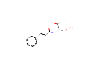 O=C(C=Cc1ccccc1)NC(CO)C(=O)O